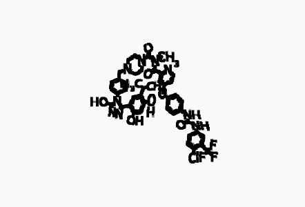 CC(C)c1cc(-c2nnc(O)n2-c2ccc(CN3CCN(C(=O)N(C)C(=O)c4cc(Oc5ccc(NC(=O)Nc6ccc(Cl)c(C(F)(F)F)c6)cc5)ccn4)CC3)cc2)c(O)cc1O